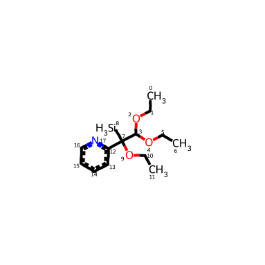 CCOC(OCC)C([SiH3])(OCC)c1ccccn1